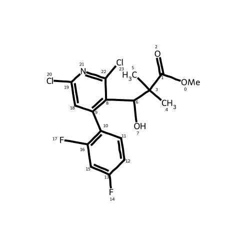 COC(=O)C(C)(C)C(O)c1c(-c2ccc(F)cc2F)cc(Cl)nc1Cl